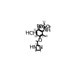 Cc1c(OCC2=NCCN2)ccc(Br)c1NS(C)(=O)=O.Cl